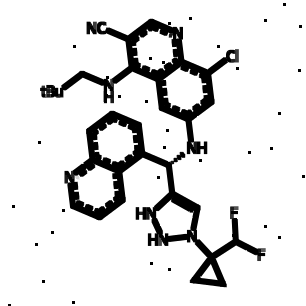 CC(C)(C)CNc1c(C#N)cnc2c(Cl)cc(N[C@H](C3=CN(C4(C(F)F)CC4)NN3)c3cccc4ncccc34)cc12